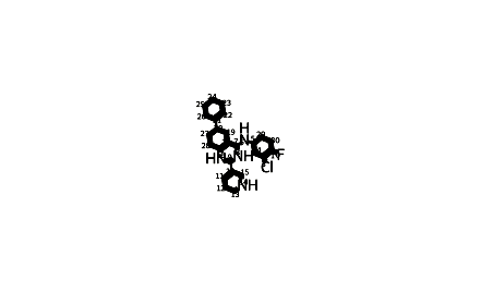 FC1=C(Cl)C[C@@H](N[C@H]2N[C@@H](C3=CCCNC3)NC3=C2C[C@H](C2=CCCCC2)CC3)CC1